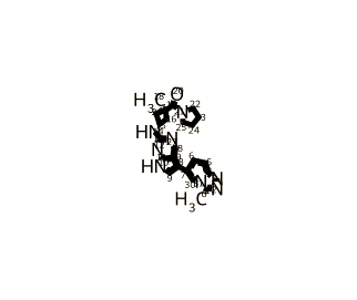 Cc1nnc2ccc(-c3c[nH]c4nc(N[C@H]5C[C@@](C)(C(=O)N6CCCC6)C5)ncc34)cn12